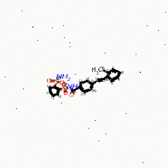 Cc1ccccc1C#Cc1ccc(C(=O)NS(=O)(=O)c2ccccc2S(N)(=O)=O)cc1